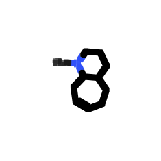 CC(C)(C)N1CCCC2CCC=CCC21